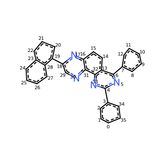 c1ccc(-c2nc(-c3ccccc3)c3ccc4nc(-c5cccc6ccccc56)cnc4c3n2)cc1